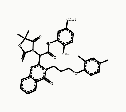 CCOC(=O)c1ccc(OC)c(NC(=O)C(c2nc3ccccc3c(=O)n2CCCOc2ccc(C)cc2C)N2C(=O)OC(C)(C)C2=O)c1